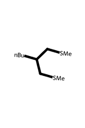 CCCCC(CSC)CSC